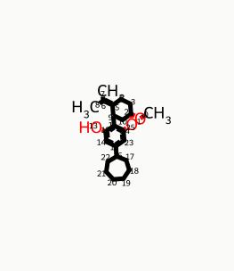 COC12CCC(=C(C)C)C(C1)c1c(O)cc(C3CCCCCC3)cc1O2